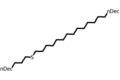 CCCCCCCCCCCCCCCCCCCCCCC[CH]SCCCCCCCCCCCCC